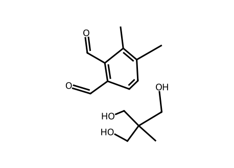 CC(CO)(CO)CO.Cc1ccc(C=O)c(C=O)c1C